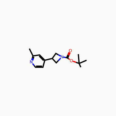 Cc1cc(C2CN(C(=O)OC(C)(C)C)C2)ccn1